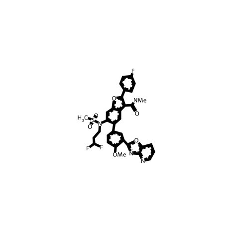 CNC(=O)c1c(-c2ccc(F)cc2)oc2cc(N(CCC(F)F)S(C)(=O)=O)c(-c3ccc(OC)c(-c4nc5ncccc5o4)c3)cc12